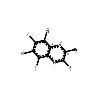 Clc1c(Cl)c(Cl)c2nc(Br)c(Br)nc2c1Cl